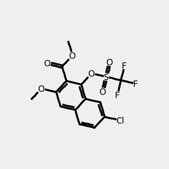 COC(=O)c1c(OC)cc2ccc(Cl)cc2c1OS(=O)(=O)C(F)(F)F